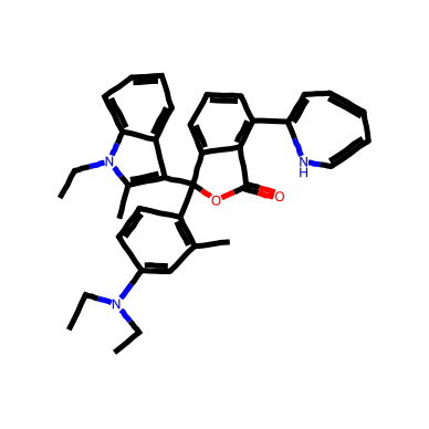 CCN(CC)c1ccc(C2(c3c(C)n(CC)c4ccccc34)OC(=O)c3c(C4=CC=CC=CN4)cccc32)c(C)c1